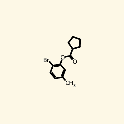 Cc1ccc(Br)c(OC(=O)C2CCCC2)c1